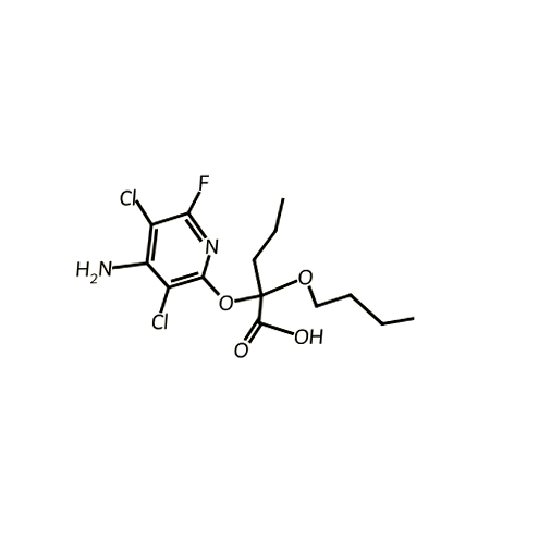 CCCCOC(CCC)(Oc1nc(F)c(Cl)c(N)c1Cl)C(=O)O